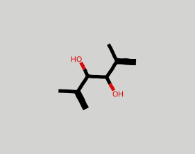 C=C(C)C(O)C(O)C(=C)C